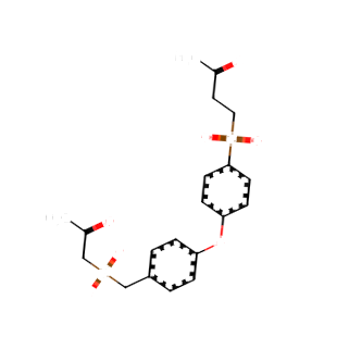 CC(=O)CCS(=O)(=O)c1ccc(Oc2ccc(CS(=O)(=O)CC(C)=O)cc2)cc1